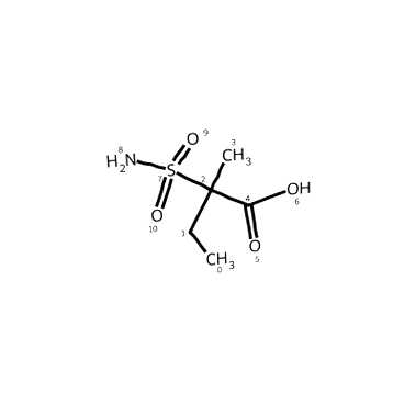 CCC(C)(C(=O)O)S(N)(=O)=O